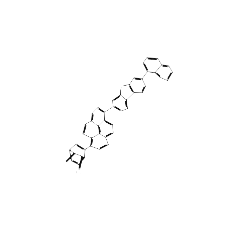 O=C1C(=O)C2C=CC1C=C2c1ccc2ccc3c(-c4ccc5c(c4)sc4cc(-c6cccc7ccccc67)ccc45)ccc4ccc1c2c43